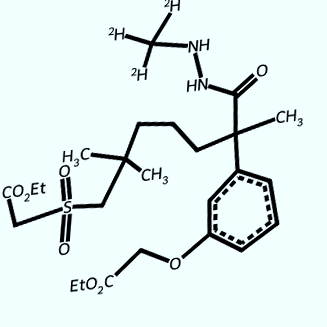 [2H]C([2H])([2H])NNC(=O)C(C)(CCCC(C)(C)CS(=O)(=O)CC(=O)OCC)c1cccc(OCC(=O)OCC)c1